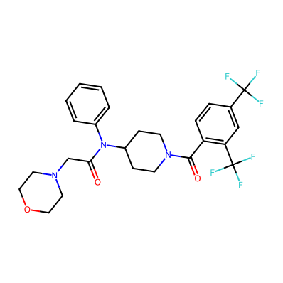 O=C(c1ccc(C(F)(F)F)cc1C(F)(F)F)N1CCC(N(C(=O)CN2CCOCC2)c2ccccc2)CC1